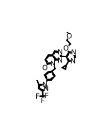 COCCOc1ncnc(C2CC2)c1-c1ncc2ccc(=O)n(Cc3ccc(-n4nc(C(F)(F)F)cc4C)cc3)c2n1